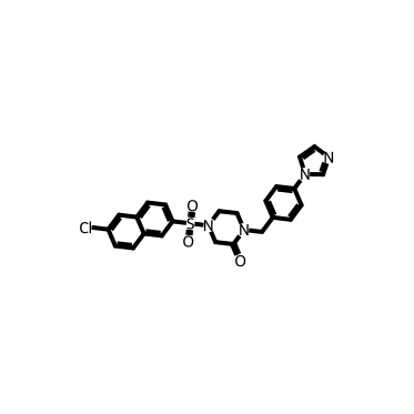 O=C1CN(S(=O)(=O)c2ccc3cc(Cl)ccc3c2)CCN1Cc1ccc(-n2ccnc2)cc1